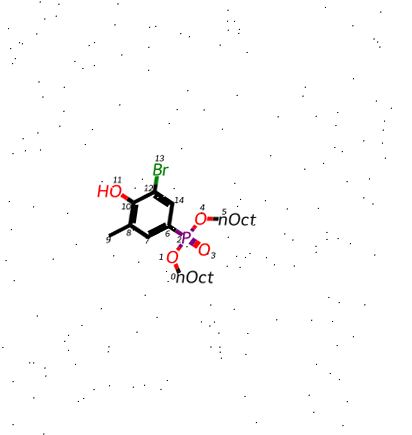 CCCCCCCCOP(=O)(OCCCCCCCC)c1cc(C)c(O)c(Br)c1